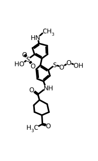 CNc1ccc(-c2ccc(NC(=O)C3CCC(C(C)=O)CC3)cc2SOOO)c(S(=O)(=O)O)c1